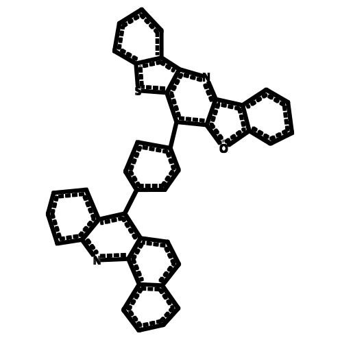 c1ccc2c(c1)ccc1c(-c3ccc(-c4c5oc6ccccc6c5nc5c4sc4ccccc45)cc3)c3ccccc3nc12